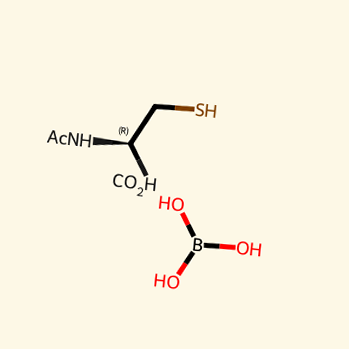 CC(=O)N[C@@H](CS)C(=O)O.OB(O)O